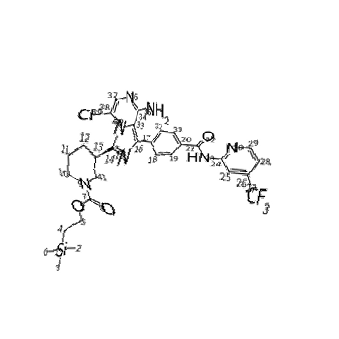 C[Si](C)(C)CCOC(=O)N1CCC[C@@H](c2nc(-c3ccc(C(=O)Nc4cc(C(F)(F)F)ccn4)cc3)c3c(N)ncc(Cl)n23)C1